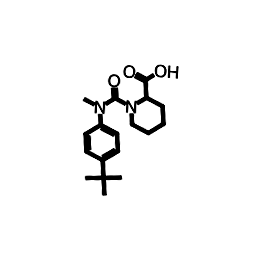 CN(C(=O)N1CCCCC1C(=O)O)c1ccc(C(C)(C)C)cc1